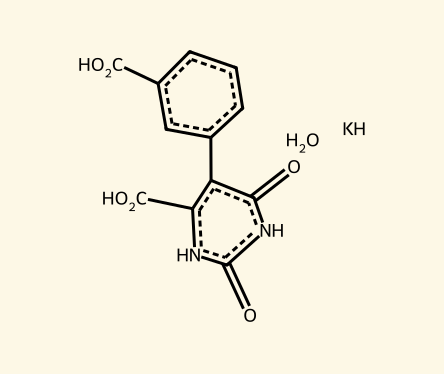 O.O=C(O)c1cccc(-c2c(C(=O)O)[nH]c(=O)[nH]c2=O)c1.[KH]